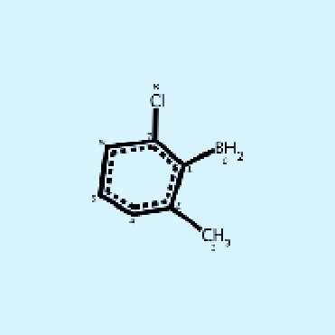 Bc1c(C)cccc1Cl